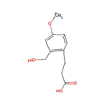 COc1ccc(CCC(=O)O)c(CO)c1